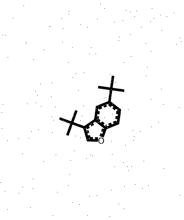 CC(C)(C)c1ccc2occ(C(C)(C)C)c2c1